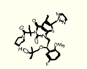 COc1ccc(F)cc1[C@H](Cn1c(=O)n(C(C)(C)C(=O)N2CCCC2)c(=O)c2c(C)c(-n3nccn3)sc21)OCC(C)(C)O